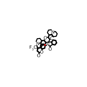 O=C1c2ccccc2C2(c3cc4c5c(c3Oc3c2cc2c6c3CCCN6CCC2)CCCN5CCC4)N1c1ccc2c(C(F)(F)F)cc(=O)oc2c1